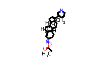 CCC(=O)O/N=C1/C=C2CC[C@H]3[C@H](CC[C@]4(C)C(c5cccnc5)=CC[C@@H]34)[C@@]2(C)CC1